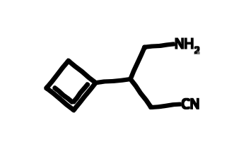 N#CCC(CN)C1=C=CC1